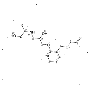 C=CCOCc1ccccc1OCC(O)CNC(C)CO